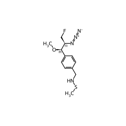 CO[C@H](c1ccc(CNSC)cc1)[C@@H](CF)N=[N+]=[N-]